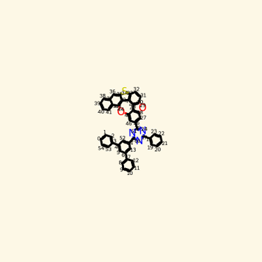 c1ccc(-c2cc(-c3ccccc3)cc(-c3nc(-c4ccccc4)nc(-c4cc5oc6ccc7sc8cc9ccccc9c9oc(c4)c5c6c7c89)n3)c2)cc1